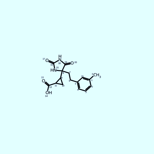 Cc1cccc(CCC2(C3CC3C(=O)O)NC(=O)NC2=O)c1